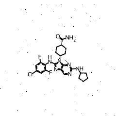 NC(=O)[C@H]1CC[C@@H](n2c(Nc3c(F)cc(Cl)cc3F)nc3cnc(NC4CCCC4)nc32)CC1